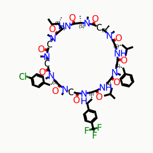 CC[C@H](C)[C@@H]1NC(=O)[C@H](C)N(C)C(=O)C[C@@H](C)N(C)C(=O)[C@H](CC(C)C)NC(=O)[C@H](Cc2ccccc2)N(C)C(=O)[C@H](CC(C)C)NC(=O)[C@H](CCc2ccc(C(F)(F)F)cc2)NC(=O)CN(C)C(=O)[C@H](Cc2ccc(Cl)cc2)N(C)C(=O)CN(C)C(=O)CN(C)C1=O